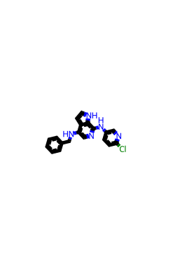 Clc1ccc(Nc2ncc(NCc3ccccc3)c3cc[nH]c23)cn1